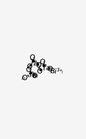 [Bi+3].[O]=[Ta](=[O])[O-].[O]=[Ta](=[O])[O-].[O]=[Ta](=[O])[O-]